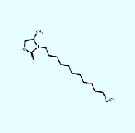 CC1COC(=O)N1CCCCCCCCCCCC=O